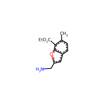 CCOC(=O)c1c(C)ccc2cc(CN)oc12